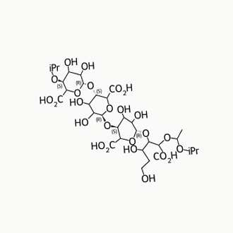 CC(C)OC(C)OC(C(=O)O)C(O[C@@H]1OC(C(=O)O)[C@@H](O[C@@H]2OC(C(=O)O)[C@@H](O[C@@H]3OC(C(=O)O)[C@@H](OC(C)C)C(O)C3O)C(O)C2O)C(O)C1O)C(O)CCO